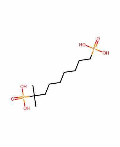 CC(C)(CCCCCCCP(=O)(O)O)P(=O)(O)O